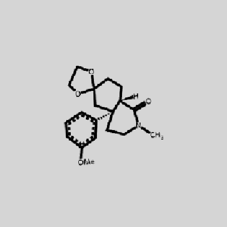 COc1cccc([C@@]23CCN(C)C(=O)[C@H]2CCC2(C3)OCCO2)c1